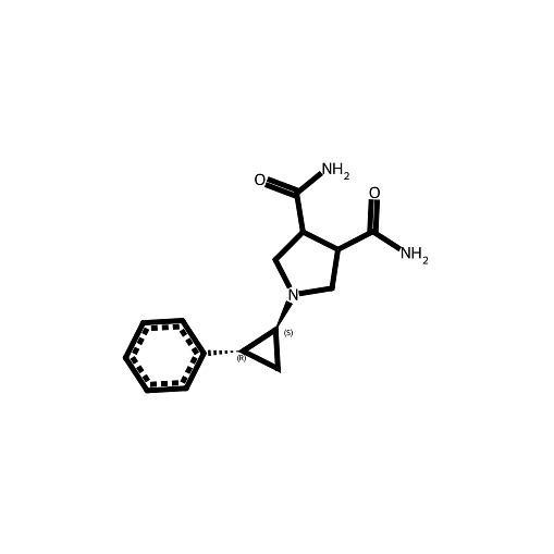 NC(=O)C1CN([C@H]2C[C@@H]2c2ccccc2)CC1C(N)=O